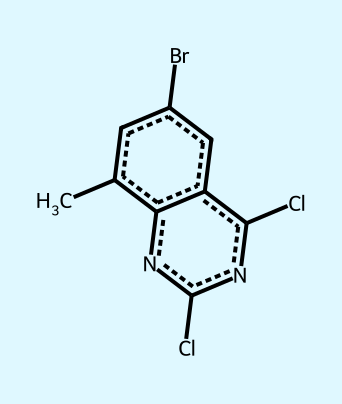 Cc1cc(Br)cc2c(Cl)nc(Cl)nc12